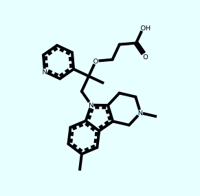 Cc1ccc2c(c1)c1c(n2CC(C)(OCCC(=O)O)c2cccnc2)CCN(C)C1